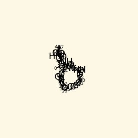 CC[C@@H]1C[C@]1(NC(=O)CN1C[C@@H](C)OC(=O)N2Cc3cccc(c3C2)CCCCC(C)(C)COC(=O)NCC1=O)C(=O)NS(=O)(=O)C1CC1